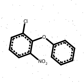 O=[N+]([O-])c1cccc(Cl)c1Oc1cc[c]cc1